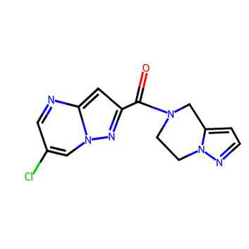 O=C(c1cc2ncc(Cl)cn2n1)N1CCn2nccc2C1